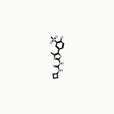 Cc1nc(NC(=O)NC2CCC2)sc1-c1ccc(Cl)c(S(C)(=O)=O)c1